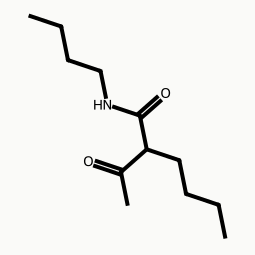 CCCCNC(=O)C(CCCC)C(C)=O